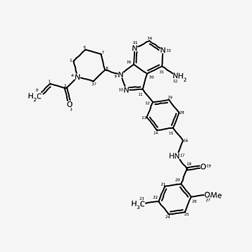 C=CC(=O)N1CCCC(n2nc(-c3ccc(CNC(=O)c4cc(C)ccc4OC)cc3)c3c(N)ncnc32)C1